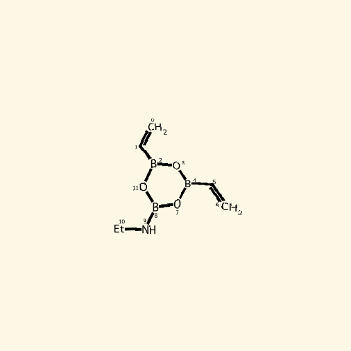 C=CB1OB(C=C)OB(NCC)O1